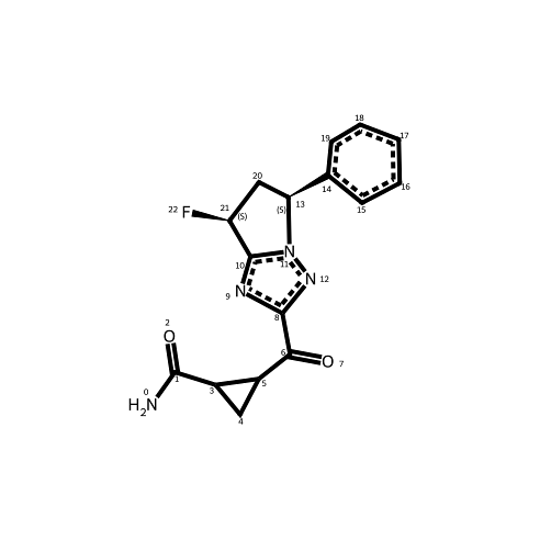 NC(=O)C1CC1C(=O)c1nc2n(n1)[C@H](c1ccccc1)C[C@@H]2F